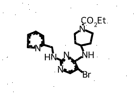 CCOC(=O)N1CCC(Nc2nc(NCc3ccccn3)ncc2Br)CC1